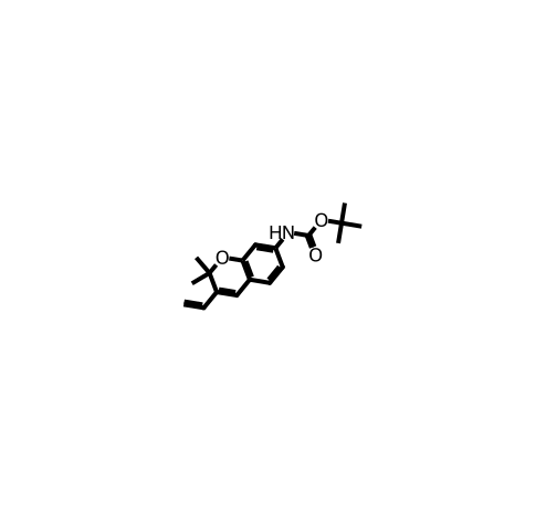 C=CC1=Cc2ccc(NC(=O)OC(C)(C)C)cc2OC1(C)C